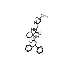 Cc1cc(CNC(=O)C2(NC(=O)CC(c3ccccc3)c3ccccc3)CCCCC2)no1